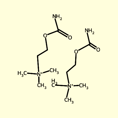 C[N+](C)(C)CCOC(N)=O.C[N+](C)(C)CCOC(N)=O